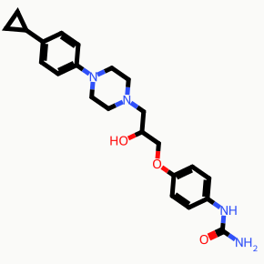 NC(=O)Nc1ccc(OCC(O)CN2CCN(c3ccc(C4CC4)cc3)CC2)cc1